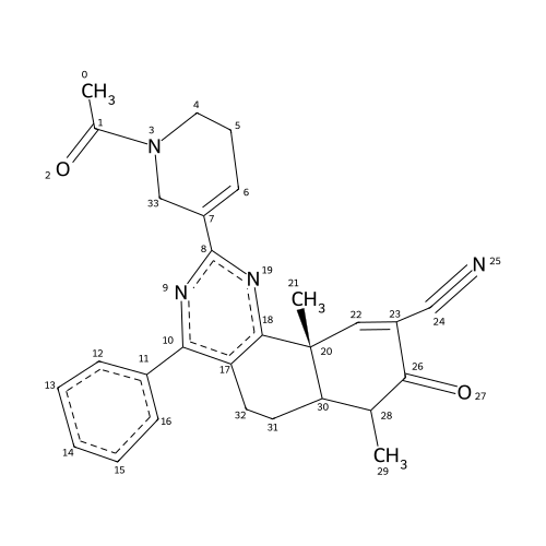 CC(=O)N1CCC=C(c2nc(-c3ccccc3)c3c(n2)[C@]2(C)C=C(C#N)C(=O)C(C)C2CC3)C1